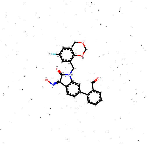 O=Cc1ccccc1-c1ccc2c(c1)N(Cc1cc(F)cc3c1OCOC3)C(=O)/C2=N\O